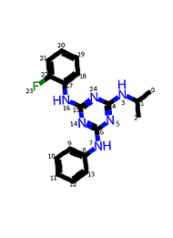 CC(C)Nc1nc(Nc2ccccc2)nc(Nc2ccccc2F)n1